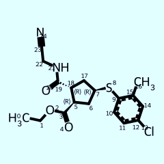 CCOC(=O)[C@@H]1C[C@H](Sc2ccc(Cl)cc2C)C[C@H]1C(=O)NCC#N